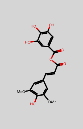 COc1cc(/C=C/C(=O)OC(=O)c2cc(O)c(O)c(O)c2)cc(OC)c1O